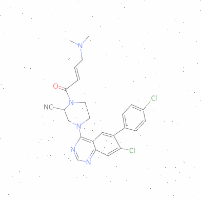 CN(C)CC=CC(=O)N1CCN(c2ncnc3cc(Cl)c(-c4ccc(Cl)cc4)cc23)CC1C#N